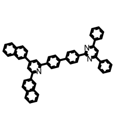 c1ccc(-c2cc(-c3ccccc3)nc(-c3ccc(-c4ccc(-c5cc(-c6ccc7ccccc7c6)cc(-c6ccc7ccccc7c6)n5)cc4)cc3)n2)cc1